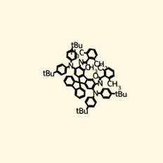 Cc1cccc(C)c1-c1nc2c(N(c3ccc(C(C)(C)C)cc3)c3ccc(C(C)(C)C)cc3)cc3c(c2o1)-c1c(cc(N(c2ccc(C(C)(C)C)cc2)c2ccc(C(C)(C)C)cc2)c2nc(-c4c(C)cccc4C)oc12)C31c2ccccc2-c2ccccc21